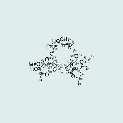 C=CCOC(=O)O[C@@H]1C(N(C)C)C[C@@H](C)O[C@H]1O[C@@H]1[C@@H](C)[C@H](O[C@H]2C[C@@](C)(OC)[C@@H](O)[C@H](C)O2)[C@@H](C)C(=O)O[C@H](CC)[C@@](C)(O)[C@H](O)[C@@H](C)N(C)C[C@H](C)C[C@@]1(C)O